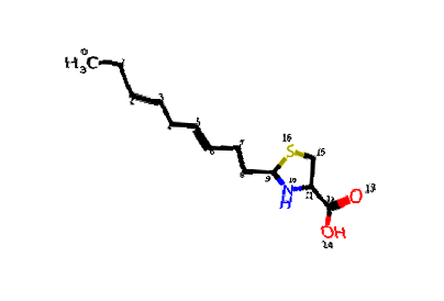 CCCCCC=CCCC1NC(C(=O)O)CS1